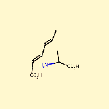 C/C=C/C=C/C(=O)O.CC(N)C(=O)O